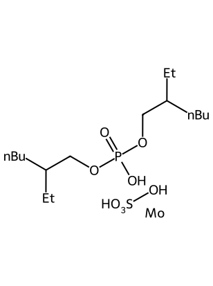 CCCCC(CC)COP(=O)(O)OCC(CC)CCCC.O=S(=O)(O)O.[Mo]